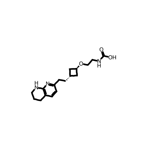 O=C(O)NCCO[C@H]1C[C@H](CCc2ccc3c(n2)NCCC3)C1